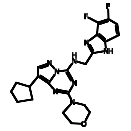 Fc1ccc2[nH]c(CNc3nc(N4CCOCC4)nc4c(C5CCCC5)cnn34)nc2c1F